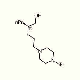 CCC[C@@H](CO)CCCN1CCN(C(C)C)CC1